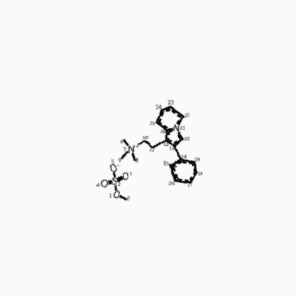 COS(=O)(=O)[O-].C[N+](C)(C)CCc1c(-c2ccccc2)cn2ccccc12